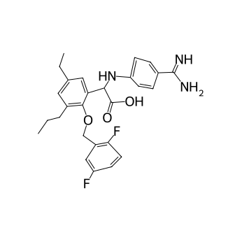 CCCc1cc(CC)cc(C(Nc2ccc(C(=N)N)cc2)C(=O)O)c1OCc1cc(F)ccc1F